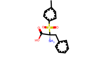 Cc1ccc(S(=O)(=O)[C@@](N)(Cc2ccccc2)C(=O)O)cc1